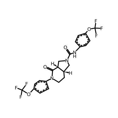 O=C(Nc1ccc(OC(F)(F)F)cc1)N1C[C@@H]2CCN(c3ccc(OC(F)(F)F)cc3)C(=O)[C@@H]2C1